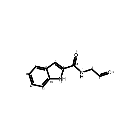 O=[C]CNC(=O)c1cc2ccccc2[nH]1